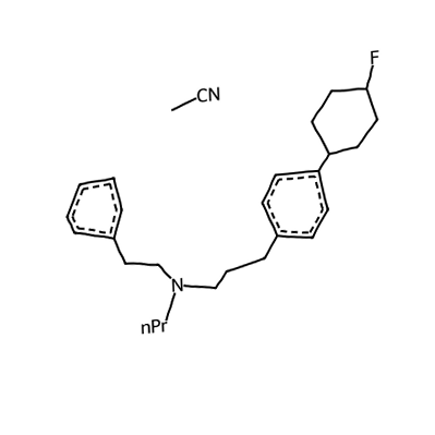 CC#N.CCCN(CCCc1ccc(C2CCC(F)CC2)cc1)CCc1ccccc1